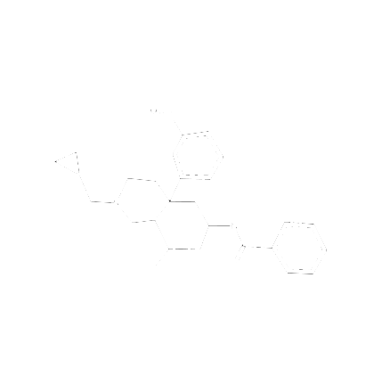 COc1cccc(C23CCN(CC4CC4)CC2C(O)CC(NC(=O)c2ccccc2)C3)c1